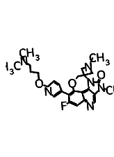 CN(C)CCCOc1ccc(-c2c(F)cc3ncc4c5c3c2OCC2(CN(C)C2)n5c(=O)n4C)cn1